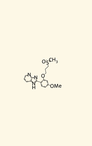 COc1ccc(-c2nc3ncccc3[nH]2)c(OCCC[S+](C)[O-])c1